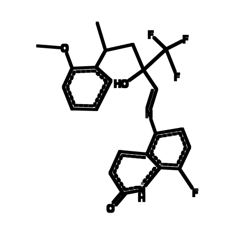 COc1ccccc1C(C)CC(O)(C=Nc1ccc(F)c2[nH]c(=O)ccc12)C(F)(F)F